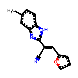 Cc1ccc2[nH]c(/C(C#N)=C/c3ccco3)nc2c1